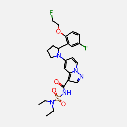 CCN(CC)S(=O)(=O)NC(=O)c1cnn2ccc(N3CCCC3c3cc(F)ccc3OCCF)cc12